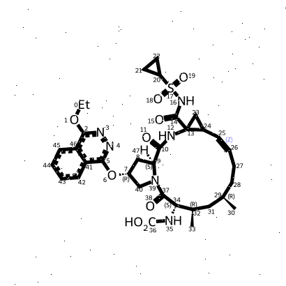 CCOc1nnc(O[C@@H]2C[C@H]3C(=O)NC4(C(=O)NS(=O)(=O)C5CC5)CC4/C=C\CC[C@@H](C)C[C@@H](C)[C@H](NC(=O)O)C(=O)N3C2)c2ccccc12